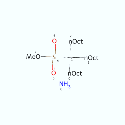 CCCCCCCCC(CCCCCCCC)(CCCCCCCC)S(=O)(=O)OC.N